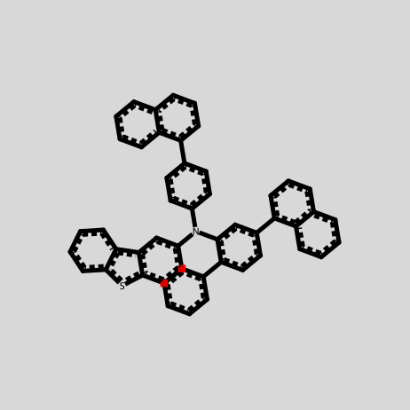 c1ccc(-c2ccc(-c3cccc4ccccc34)cc2N(c2ccc(-c3cccc4ccccc34)cc2)c2ccc3sc4ccccc4c3c2)cc1